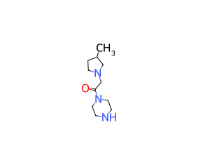 CC1CCN(CC(=O)N2CCNCC2)C1